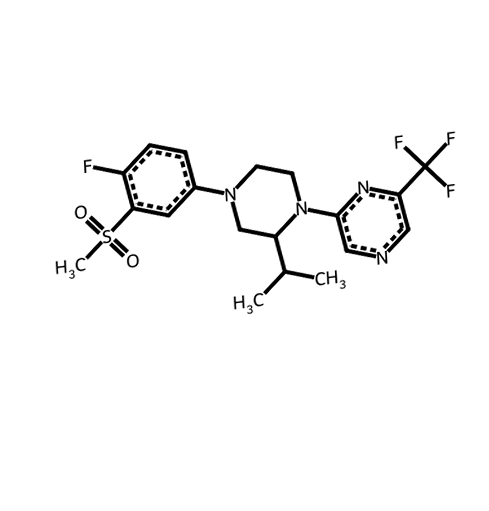 CC(C)C1CN(c2ccc(F)c(S(C)(=O)=O)c2)CCN1c1cncc(C(F)(F)F)n1